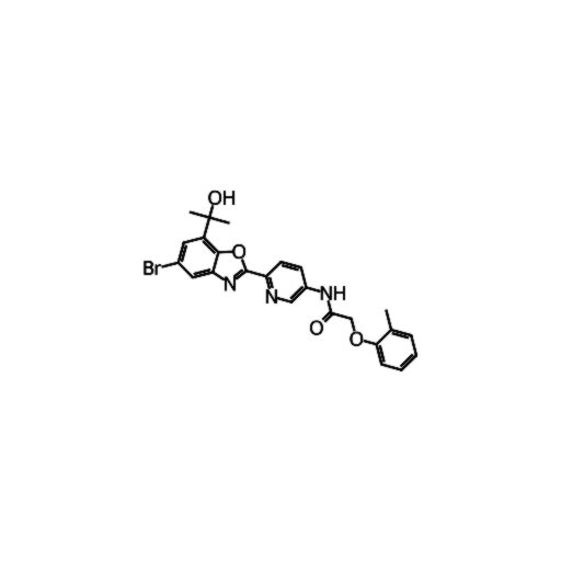 Cc1ccccc1OCC(=O)Nc1ccc(-c2nc3cc(Br)cc(C(C)(C)O)c3o2)nc1